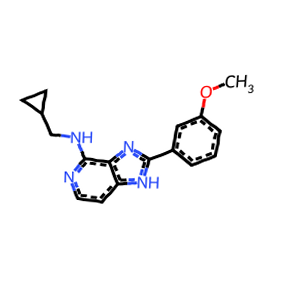 COc1cccc(-c2nc3c(NCC4CC4)nccc3[nH]2)c1